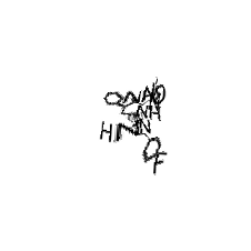 Cc1nc(C2N[C@@H](C3=NC(c4ccc(F)cc4)CN3)Cc3c2[nH]c2ccccc32)no1